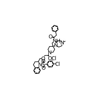 CN1CCN(C2(CNC(=O)Cc3ccccc3)CCN(C(=O)COCC3CCc4ccccc4N3S(=O)(=O)c3ccc(Cl)c(Cl)c3)CC2)CC1